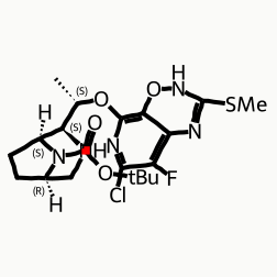 CSC1=Nc2c(F)c(Cl)nc(O[C@@H](C)[C@H]3NC[C@H]4CC[C@@H]3N4C(=O)OC(C)(C)C)c2ON1